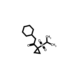 CC(C)S(=O)(=O)C1(C(=O)CC2CCCCC2)CC1